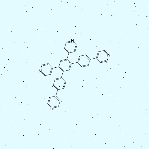 c1cc(-c2ccc(-c3cc(-c4ccc(-c5ccncc5)cc4)c(-c4ccncc4)cc3-c3ccncc3)cc2)ccn1